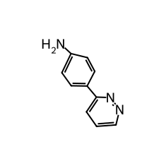 Nc1ccc(-c2cccnn2)cc1